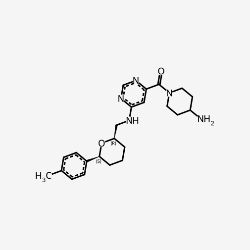 Cc1ccc([C@@H]2CCC[C@H](CNc3cc(C(=O)N4CCC(N)CC4)ncn3)O2)cc1